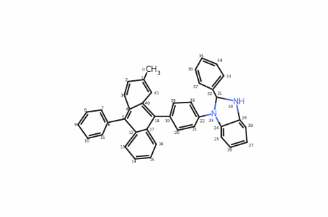 Cc1ccc2c(-c3ccccc3)c3ccccc3c(-c3ccc(N4c5ccccc5NC4c4ccccc4)cc3)c2c1